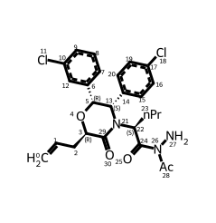 C=CC[C@H]1O[C@H](c2cccc(Cl)c2)[C@H](c2ccc(Cl)cc2)N([C@@H](CCC)C(=O)N(N)C(C)=O)C1=O